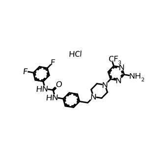 Cl.Nc1nc(N2CCN(Cc3ccc(NC(=O)Nc4cc(F)cc(F)c4)cc3)CC2)cc(C(F)(F)F)n1